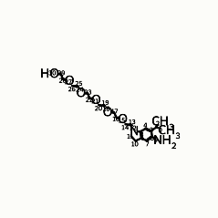 CC(C)c1cc2c(cc1N)CCN2CCOCCOCCOCCOCCOCCO